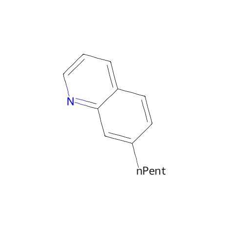 [CH2]CCCCc1ccc2cccnc2c1